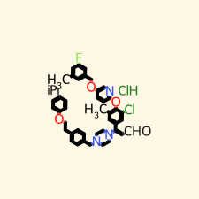 Cc1cc(F)cc(COc2ccc(Oc3c(C)cc(/C(=C\C=O)N4CCN(Cc5ccc(CCOc6ccc(C(C)C)cc6)cc5)CC4)cc3Cl)nc2)c1.Cl